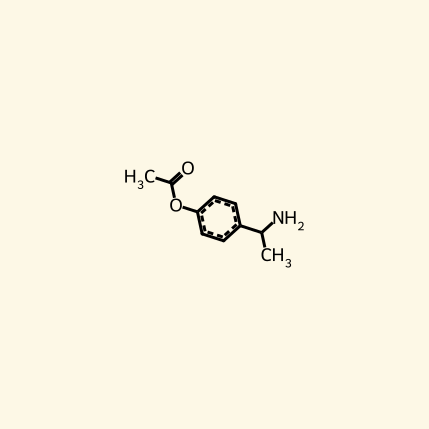 CC(=O)Oc1ccc(C(C)N)cc1